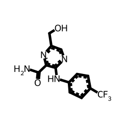 NC(=O)c1nc(CO)cnc1Nc1ccc(C(F)(F)F)cc1